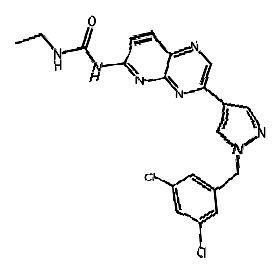 CCNC(=O)Nc1ccc2ncc(-c3cnn(Cc4cc(Cl)cc(Cl)c4)c3)nc2n1